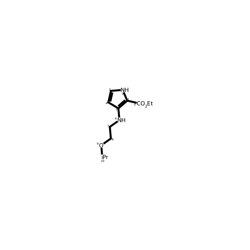 CCOC(=O)c1[nH]ccc1NCCOC(C)C